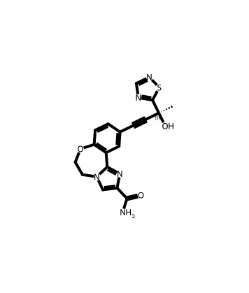 C[C@](O)(C#Cc1ccc2c(c1)-c1nc(C(N)=O)cn1CCO2)c1ncns1